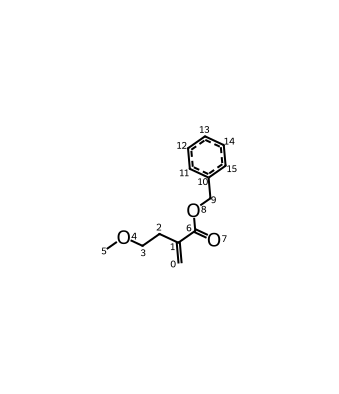 C=C(CCOC)C(=O)OCc1ccccc1